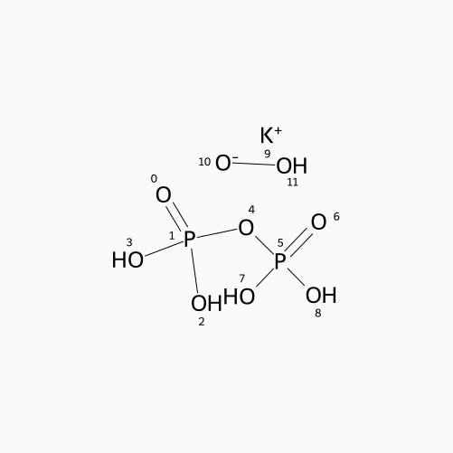 O=P(O)(O)OP(=O)(O)O.[K+].[O-]O